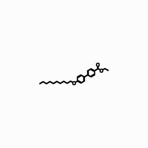 CCCCCCCCCCOc1ccc(-c2ccc(C(=O)OCC)cc2)cc1